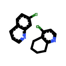 Clc1ccc2cccnc2c1.Clc1ccnc2c1CCCC2